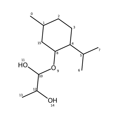 CC1CCC(C(C)C)C(OC(O)C(C)O)C1